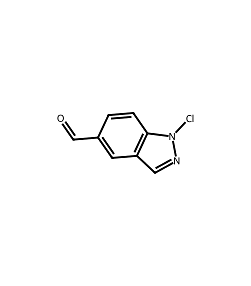 O=Cc1ccc2c(cnn2Cl)c1